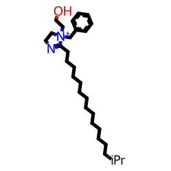 CC(C)CCCCCCCCCCCCCCC1=NCC[N+]1(CCO)Cc1ccccc1